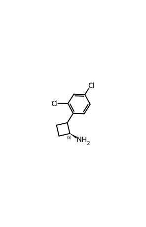 N[C@H]1CCC1c1ccc(Cl)cc1Cl